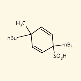 CCCCC1(C)C=CC(CCCC)(S(=O)(=O)O)C=C1